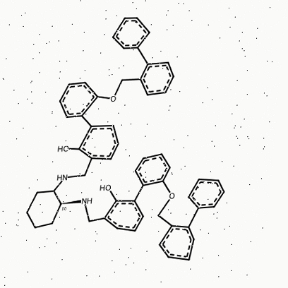 Oc1c(CNC2CCCC[C@@H]2NCc2cccc(-c3ccccc3OCc3ccccc3-c3ccccc3)c2O)cccc1-c1ccccc1OCc1ccccc1-c1ccccc1